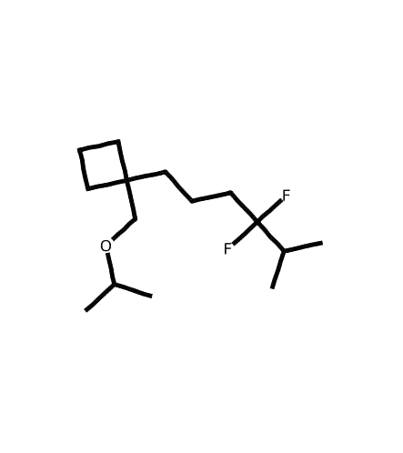 CC(C)OCC1(CCCC(F)(F)C(C)C)CCC1